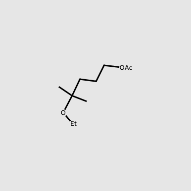 CCOC(C)(C)CCCOC(C)=O